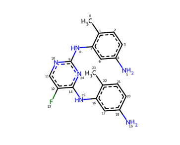 Cc1ccc(N)cc1Nc1ncc(F)c(Nc2cc(N)ccc2C)n1